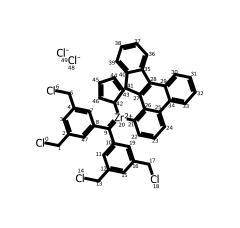 ClCc1cc(CCl)cc([C](c2cc(CCl)cc(CCl)c2)=[Zr+2]([c]2cccc3c2c2c(c4ccccc43)-c3ccccc3C2)[CH]2C=CC=C2)c1.[Cl-].[Cl-]